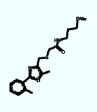 COCCCNC(=O)CSCc1nc(-c2ccccc2C)oc1C